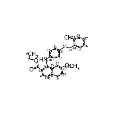 CCOC(=O)c1cnc2ccc(OC)cc2c1Nc1ccc(CCc2ccccc2Cl)cc1